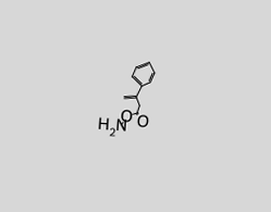 C=C(CC(=O)ON)c1ccccc1